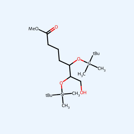 COC(=O)CCCC(O[Si](C)(C)C(C)(C)C)C(CO)O[Si](C)(C)C(C)(C)C